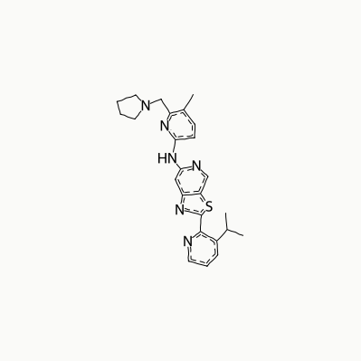 Cc1ccc(Nc2cc3nc(-c4ncccc4C(C)C)sc3cn2)nc1CN1CCCC1